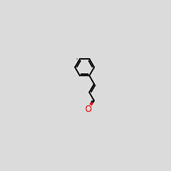 O=CC=Cc1cc[c]cc1